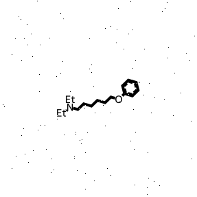 CCN(CC)CCCCCCOc1cc[c]cc1